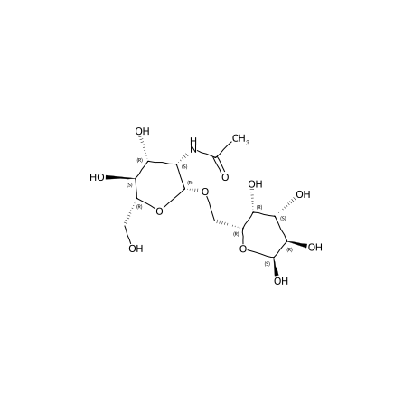 CC(=O)N[C@@H]1[C@H](OC[C@H]2O[C@H](O)[C@H](O)[C@@H](O)[C@H]2O)O[C@H](CO)[C@@H](O)[C@@H]1O